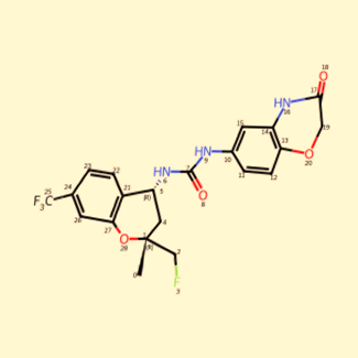 C[C@]1(CF)C[C@@H](NC(=O)Nc2ccc3c(c2)NC(=O)CO3)c2ccc(C(F)(F)F)cc2O1